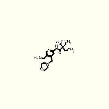 CCc1cnc(NC(=O)C(CC)(CC)CC)cc1CN1CCOCC1